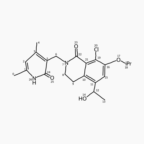 Cc1cc(C)c(CN2CCc3c(C(C)O)cc(OC(C)C)c(Cl)c3C2=O)c(=O)[nH]1